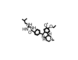 CCOc1cc2c(cc1OC)C(c1ccc(C(=O)NC(=N)NCC(C)C)cc1)=N[C@@H]1CCN(C)C[C@H]21